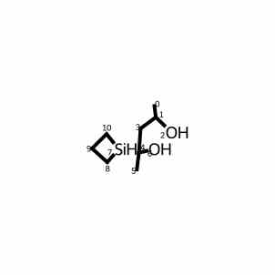 CC(O)CC(C)(O)[SiH]1CCC1